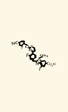 COCCn1c(Cc2ccc(-c3ccnc(OCc4ccc(C#N)cc4F)n3)c(F)c2)nc2c(F)cc(C(=O)O)cc21